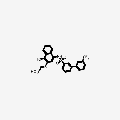 O=C(O)CSc1cc(NS(=O)(=O)c2cccc(-c3cccc(C(F)(F)F)c3)c2)c2ccccc2c1O